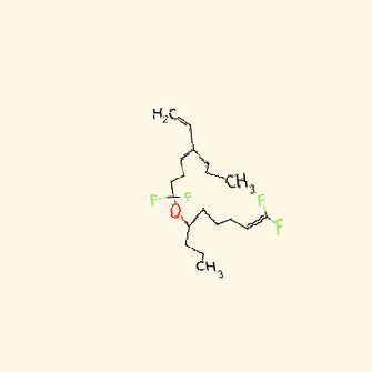 C=CC(CCC)CCCC(F)(F)OC(CCC)CCCC=C(F)F